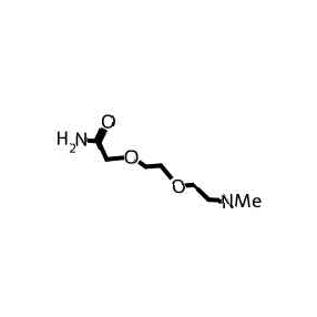 CNCCOCCOCC(N)=O